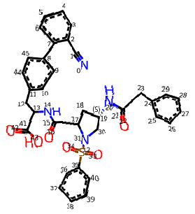 N#Cc1ccccc1-c1ccc(CC(NC(=O)C2C[C@H](NC(=O)Cc3ccccc3)CN2S(=O)(=O)c2ccccc2)C(=O)O)cc1